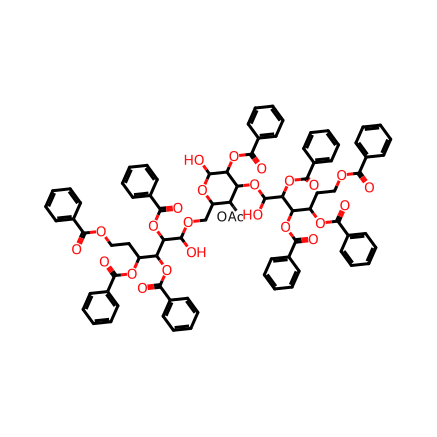 CC(=O)OC1C(COC(O)C(OC(=O)c2ccccc2)C(OC(=O)c2ccccc2)C(CCOC(=O)c2ccccc2)OC(=O)c2ccccc2)OC(O)C(OC(=O)c2ccccc2)C1OC(O)C(OC(=O)c1ccccc1)C(OC(=O)c1ccccc1)C(CCOC(=O)c1ccccc1)OC(=O)c1ccccc1